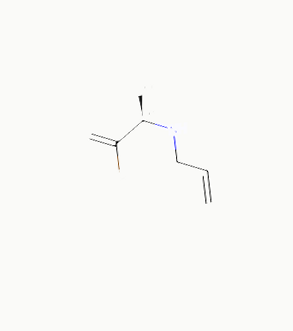 C=CCN[C@H](C(=O)O)C(S)=[Se]